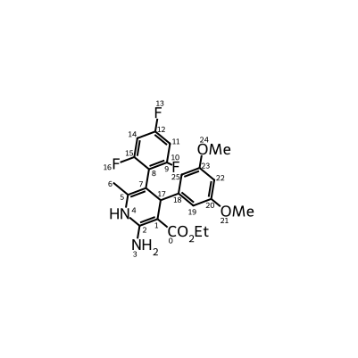 CCOC(=O)C1=C(N)NC(C)=C(c2c(F)cc(F)cc2F)C1c1cc(OC)cc(OC)c1